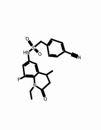 CCN1C(=O)CC(C)c2cc(NS(=O)(=O)Cc3ccc(C#N)cc3)cc(F)c21